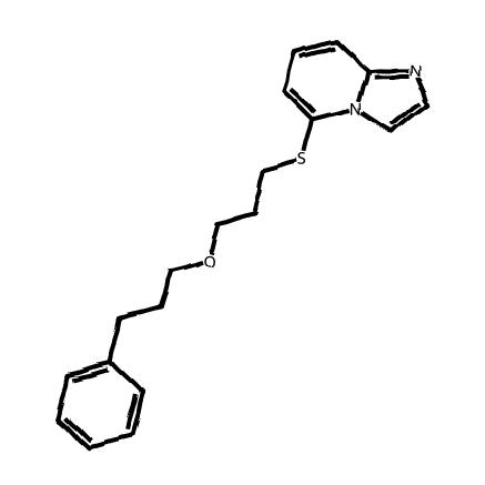 c1ccc(CCCOCCCSc2cccc3nccn23)cc1